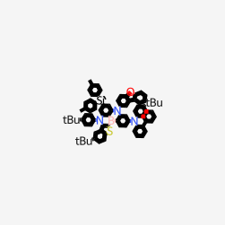 Cc1ccc([Si](C)(c2ccc(C)cc2)c2cc3c4c(c2)N(c2ccc(C(C)(C)C)cc2)c2c(sc5ccc(C(C)(C)C)cc25)B4c2ccc(N(c4ccc(C(C)(C)C)cc4)c4ccccc4-c4ccccc4)cc2N3c2ccc3oc4ccccc4c3c2)cc1